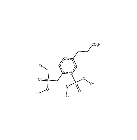 CCOP(=O)(Cc1ccc(CCC(=O)O)cc1P(=O)(OCC)OCC)OCC